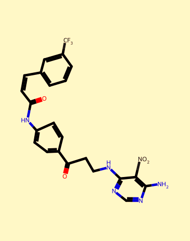 Nc1ncnc(NCCC(=O)c2ccc(NC(=O)/C=C\c3cccc(C(F)(F)F)c3)cc2)c1[N+](=O)[O-]